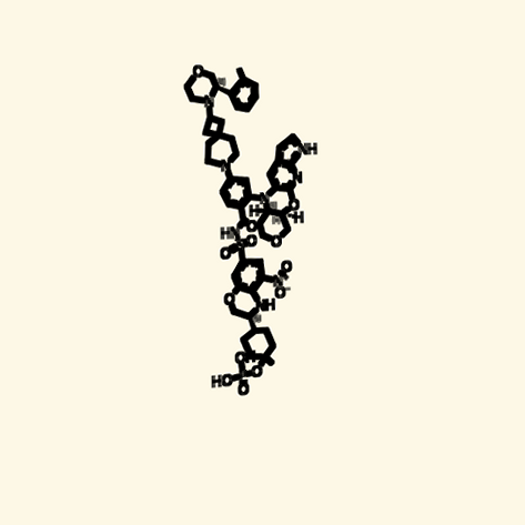 Cc1ccccc1[C@@H]1COCCN1C1CC2(CCN(c3ccc(C(=O)NS(=O)(=O)c4cc5c(c([N+](=O)[O-])c4)N[C@@H](C4CCC(C)(OP(=O)(O)O)CC4)CO5)c(N4c5cc6cc[nH]c6nc5O[C@H]5COCC[C@@H]54)c3)CC2)C1